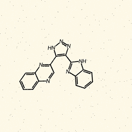 c1ccc2nc(-c3[nH]nnc3-c3nc4ccccc4[nH]3)cnc2c1